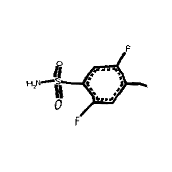 Cc1cc(F)c(S(N)(=O)=O)cc1F